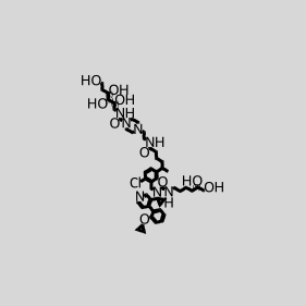 CC(CCCC(=O)NCCN1CCN(C(=O)NC[C@H](O)[C@@H](O)[C@H](O)CCO)CC1)c1ccc(Cl)c(CN(C(=O)NCCCC[C@H](O)CO)C2(c3cnccc3-c3ccccc3OC3CC3)CC2)c1